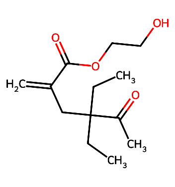 C=C(CC(CC)(CC)C(C)=O)C(=O)OCCO